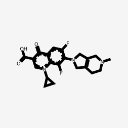 CN1CCC2=C(C1)CN(c1c(F)cc3c(=O)c(C(=O)O)cn(C4CC4)c3c1F)C2